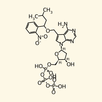 CC(C)CC(OCc1cn([C@H]2C[C@@H](O)[C@@H](COP(=O)(O)OP(=O)(O)OP(=O)(O)O)O2)c2ncnc(N)c12)c1ccccc1[N+](=O)[O-]